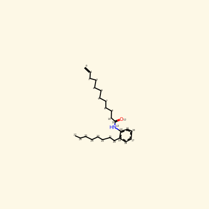 C=CCCCCCCCCCC(=O)Nc1ccccc1CCCCCCCC